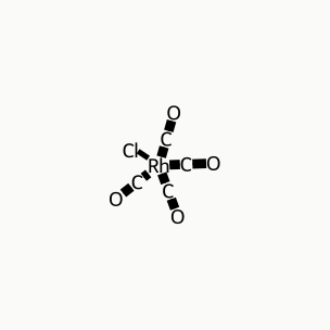 O=[C]=[Rh]([Cl])(=[C]=O)(=[C]=O)=[C]=O